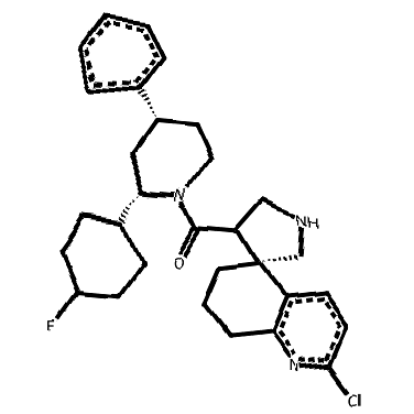 O=C(C1CNC[C@]12CCCc1nc(Cl)ccc12)N1CC[C@@H](c2ccccc2)C[C@H]1C1CCC(F)CC1